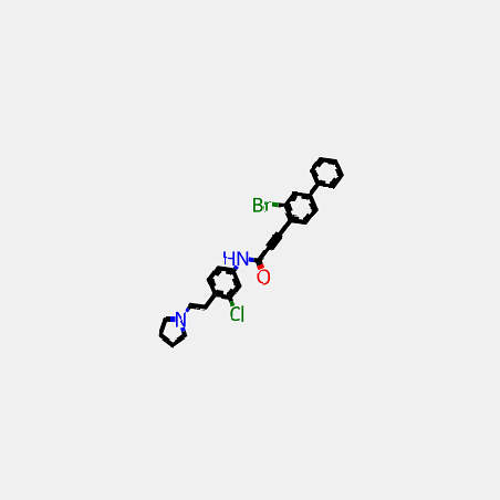 O=C(C#Cc1ccc(-c2ccccc2)cc1Br)Nc1ccc(CCN2CCCC2)c(Cl)c1